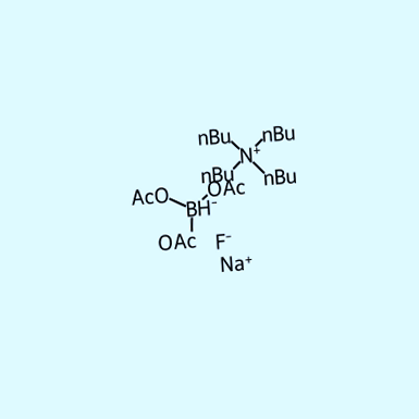 CC(=O)O[BH-](OC(C)=O)OC(C)=O.CCCC[N+](CCCC)(CCCC)CCCC.[F-].[Na+]